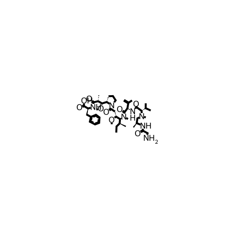 C=C(C)[C@H](NC(=O)[C@H](C(C)C)N(C)C[C@H](C)NC(=O)CN)C(=O)N(C)[C@@H]([C@@H](C)CC)[C@@H](CC(=O)N1CCC[C@H]1[C@H](OC)[C@@H](C)C(=O)N[C@@H](Cc1ccccc1)C(=O)O)OC